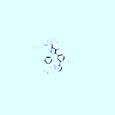 COc1cc(F)cc(-n2nc(C(=O)N(C)C(C)(C)C)c3c2-c2cc(-c4ccn(C)n4)c(OC)cc2OC3)c1